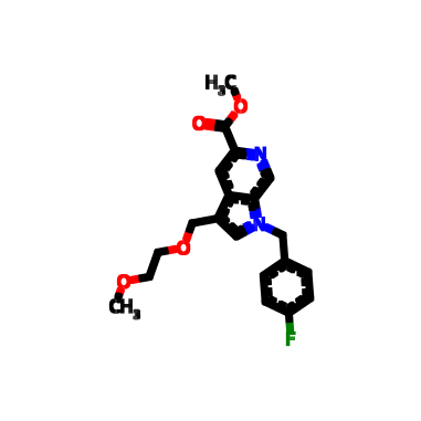 COCCOCc1cn(Cc2ccc(F)cc2)c2cnc(C(=O)OC)cc12